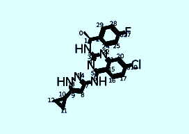 C[C@H](Nc1nc(Nc2cc(C3CC3)[nH]n2)c2ccc(Cl)cc2n1)c1ccc(F)cc1